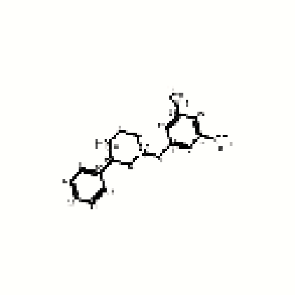 FC(F)(F)c1cc(CN2CCNC(c3ccccc3)C2)cc(C(F)(F)F)c1